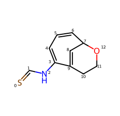 S=CNC1=CC=CC2C=C1CCO2